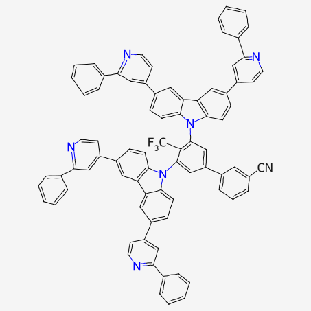 N#Cc1cccc(-c2cc(-n3c4ccc(-c5ccnc(-c6ccccc6)c5)cc4c4cc(-c5ccnc(-c6ccccc6)c5)ccc43)c(C(F)(F)F)c(-n3c4ccc(-c5ccnc(-c6ccccc6)c5)cc4c4cc(-c5ccnc(-c6ccccc6)c5)ccc43)c2)c1